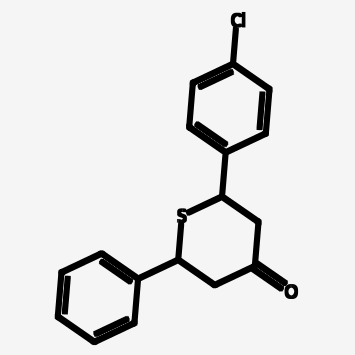 O=C1CC(c2ccccc2)SC(c2ccc(Cl)cc2)C1